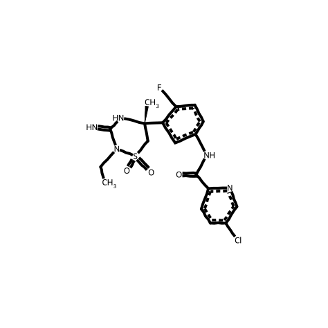 CCN1C(=N)N[C@](C)(c2cc(NC(=O)c3ccc(Cl)cn3)ccc2F)CS1(=O)=O